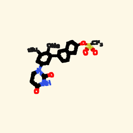 COc1c(-c2ccc3cc(OS(=O)(=O)C(F)(F)F)ccc3c2)cc(-n2ccc(=O)[nH]c2=O)cc1C(C)(C)C